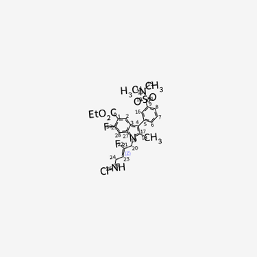 CCOC(=O)c1cc2c(-c3cccc(S(=O)(=O)N(C)C)c3)c(C)n(C/C(F)=C/CNCl)c2cc1F